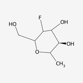 CC1OC(CO)C(F)C(O)[C@H]1O